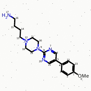 COc1ccc(-c2cnc(N3CCN(CCCCN)CC3)nc2)cc1